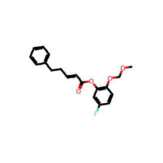 COCOc1ccc(F)cc1OC(=O)C=CCCc1ccccc1